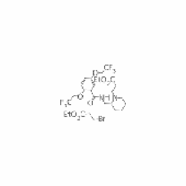 CCOC(=O)CCBr.CCOC(=O)CCN1CCCCC1CNC(=O)c1cc(OCC(F)(F)F)ccc1OCC(F)(F)F